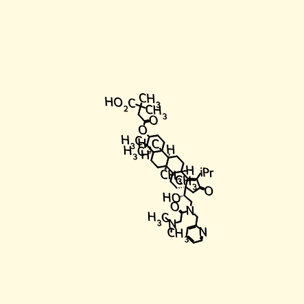 CC(C)C1=C2[C@H]3CC[C@@H]4[C@@]5(C)CC[C@H](OC(=O)CC(C)(C)C(=O)O)C(C)(C)[C@@H]5CC[C@@]4(C)[C@]3(C)CC[C@@]2([C@@H](O)CN(Cc2ccccn2)C(=O)CN(C)C)CC1=O